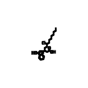 CCCCCCCCC(Cl)CCC(CC(=O)O)n1cc(O)c2ccccc21